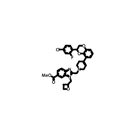 COC(=O)c1ccc2nc(CN3CC=C(c4cccc5c4OC(c4ccc(Cl)cc4F)CO5)CC3)n(CC3CCO3)c2c1